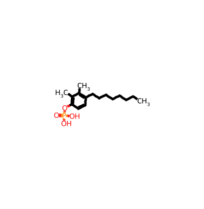 CCCCCCCCc1ccc(OP(=O)(O)O)c(C)c1C